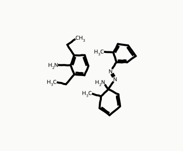 CCc1cccc(CC)c1N.Cc1ccccc1N=NC1(N)C=CC=CC1C